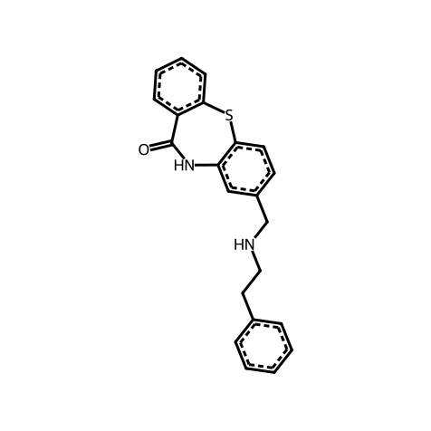 O=C1Nc2cc(CNCCc3ccccc3)ccc2Sc2ccccc21